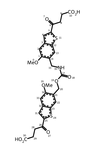 COc1cc2cc(C(=O)CCC(=O)O)sc2cc1CNC(=O)OCc1cc2sc(C(=O)CCC(=O)O)cc2cc1OC